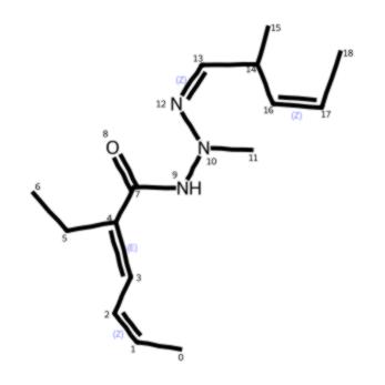 C/C=C\C=C(/CC)C(=O)NN(C)/N=C\C(C)/C=C\C